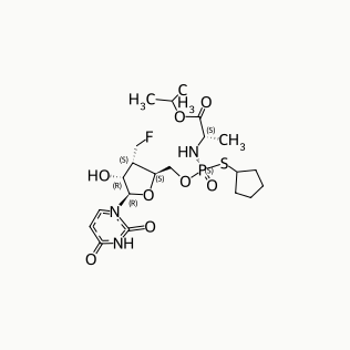 CC(C)OC(=O)[C@H](C)N[P@](=O)(OC[C@H]1O[C@@H](n2ccc(=O)[nH]c2=O)[C@H](O)[C@@H]1CF)SC1CCCC1